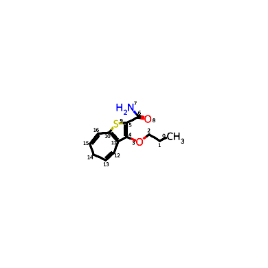 CCCOc1c(C(N)=O)sc2c1C=CCC=C2